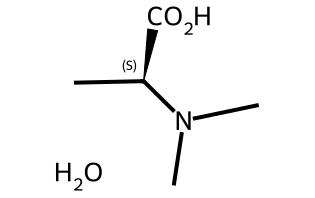 C[C@@H](C(=O)O)N(C)C.O